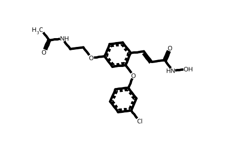 CC(=O)NCCOc1ccc(C=CC(=O)NO)c(Oc2cccc(Cl)c2)c1